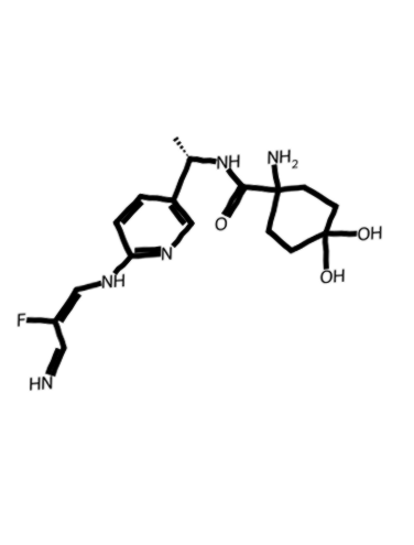 C[C@H](NC(=O)C1(N)CCC(O)(O)CC1)c1ccc(N/C=C(/F)C=N)nc1